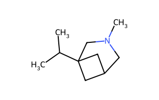 CC(C)C12CC(CN(C)C1)C2